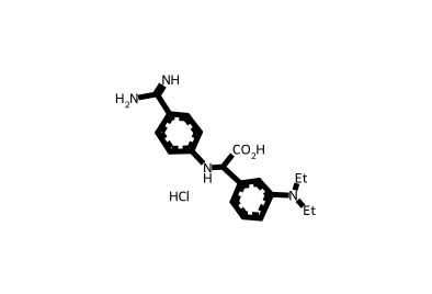 CCN(CC)c1cccc(C(Nc2ccc(C(=N)N)cc2)C(=O)O)c1.Cl